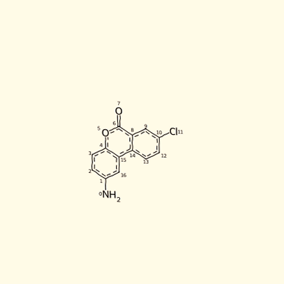 Nc1ccc2oc(=O)c3cc(Cl)ccc3c2c1